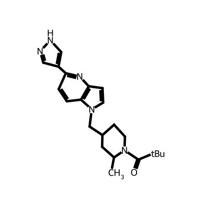 CC1CC(Cn2ccc3nc(-c4cn[nH]c4)ccc32)CCN1C(=O)C(C)(C)C